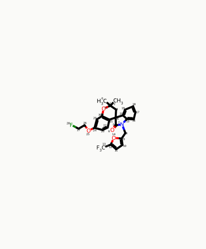 CC1(C)CC2(C(=O)N(Cc3ccc(C(F)(F)F)o3)c3ccccc32)c2ccc(OCCF)cc2O1